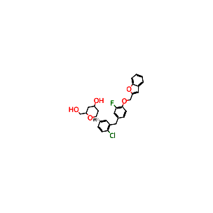 OCC1CC(O)C[C@H](c2ccc(Cl)c(Cc3ccc(OCc4cc5ccccc5o4)c(F)c3)c2)O1